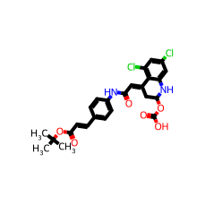 CC(C)(C)OC(=O)/C=C/c1ccc(NC(=O)/C=C2\CC(OC(=O)O)Nc3cc(Cl)cc(Cl)c32)cc1